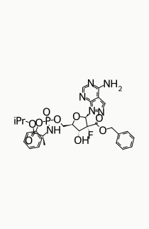 CC(C)OC(=O)[C@H](C)NP(=O)(OC[C@H]1O[C@@H](n2ncc3c(N)ncnc32)[C@@](F)(C(=O)OCc2ccccc2)[C@@H]1O)Oc1ccccc1